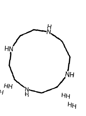 C1CNCCNCCNCCN1.[HH].[HH].[HH].[HH]